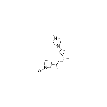 CC(=O)N1CCC[C@@H](C(C)CCC(C)[C@H]2C[C@@H](N3CCN(C)CC3)C2)C1